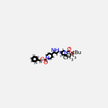 CC(C)(C)OC(=O)N1C[C@@H](CCC(N)C2CCN(C(=O)OCc3ccccc3)CC2)CC1(C)C